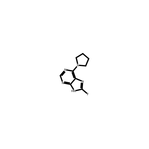 Fc1nc2c(N3CCCC3)ncnc2[nH]1